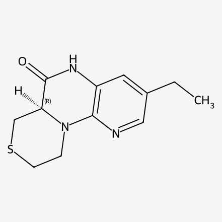 CCc1cnc2c(c1)NC(=O)[C@@H]1CSCCN21